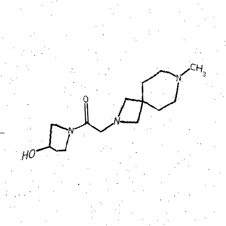 CN1CCC2(CC1)CN(CC(=O)N1CC(O)C1)C2